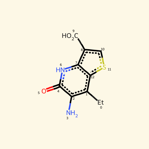 CCc1c(N)c(=O)[nH]c2c(C(=O)O)csc12